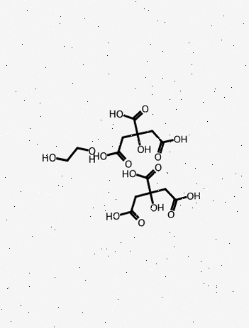 O=C(O)CC(O)(CC(=O)O)C(=O)O.O=C(O)CC(O)(CC(=O)O)C(=O)O.OCCO